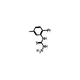 Cc1ccc(C(C)C)c(NC(=S)NN)c1